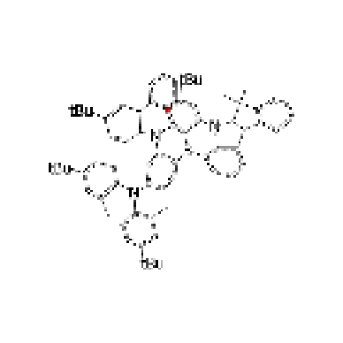 Cc1cc(C(C)(C)C)ccc1N(c1ccc2c(c1)N(C1C=CC(C(C)(C)C)=CC1c1ccccc1)c1cc(C(C)(C)C)cc3c1B2c1cccc2c1N3C1C2c2ccccc2C1(C)C)c1ccc(C(C)(C)C)cc1C